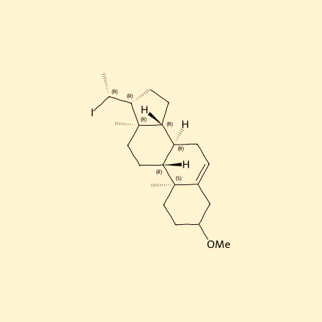 COC1CC[C@]2(C)C(=CC[C@@H]3[C@H]4CC[C@@H]([C@@H](C)I)[C@]4(C)CC[C@H]32)C1